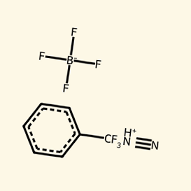 FC(F)(F)c1ccccc1.F[B-](F)(F)F.N#[NH+]